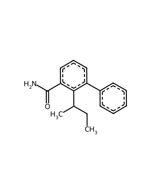 CCC(C)c1c(C(N)=O)cccc1-c1ccccc1